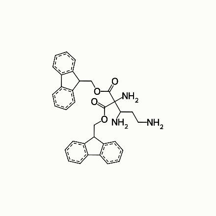 NCCC(N)C(N)(C(=O)OCC1c2ccccc2-c2ccccc21)C(=O)OCC1c2ccccc2-c2ccccc21